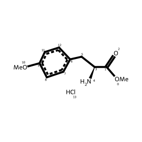 COC(=O)[C@@H](N)Cc1ccc(OC)cc1.Cl